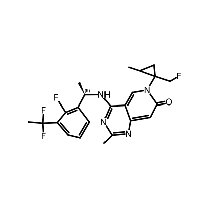 Cc1nc(N[C@H](C)c2cccc(C(C)(F)F)c2F)c2cn(C3(CF)CC3C)c(=O)cc2n1